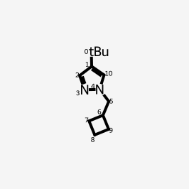 CC(C)(C)c1cnn(CC2CCC2)c1